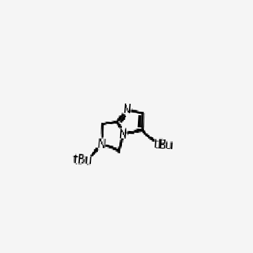 CC(C)(C)c1cnc2n1CN(C(C)(C)C)C2